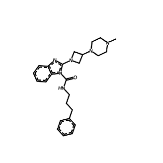 CN1CCN(C2CN(c3nc4ccccc4n3C(=O)NCCCc3ccccc3)C2)CC1